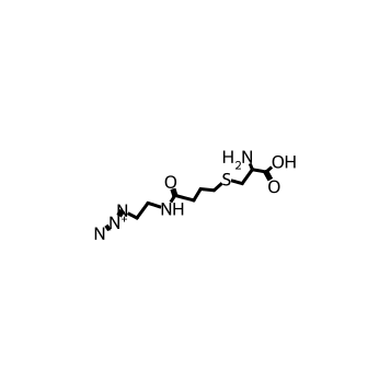 [N-]=[N+]=NCCNC(=O)CCCSCC(N)C(=O)O